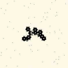 CC1(C)c2cc3ccccc3cc2-c2cccc(-c3ccc(-c4nc(-c5ccccc5)cc(-c5ccc6oc7ccccc7c6c5)n4)c4ccccc34)c21